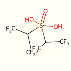 O=S(O)(O)(C(C(F)(F)F)C(F)(F)F)C(C(F)(F)F)C(F)(F)F